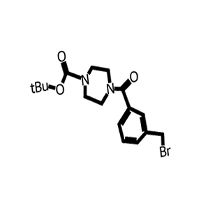 CC(C)(C)OC(=O)N1CCN(C(=O)c2cccc(CBr)c2)CC1